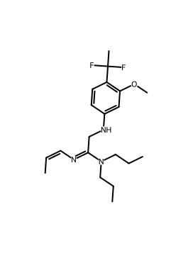 C/C=C\N=C(/CNc1ccc(C(C)(F)F)c(OC)c1)N(CCC)CCC